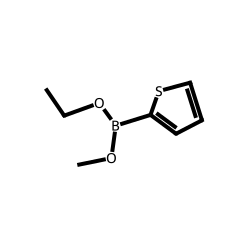 CCOB(OC)c1cccs1